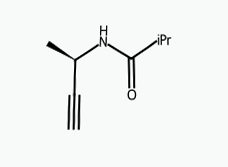 C#C[C@@H](C)NC(=O)C(C)C